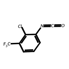 O=C=Nc1cccc(C(F)(F)F)c1Cl